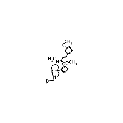 COc1cccc(C=CC(=O)N(C)[C@@H]2CC[C@@H]3CN(CC4CC4)CC[C@@]3(c3cccc(OC)c3)C2)c1